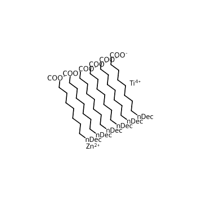 CCCCCCCCCCCCCCCCCC(=O)[O-].CCCCCCCCCCCCCCCCCC(=O)[O-].CCCCCCCCCCCCCCCCCC(=O)[O-].CCCCCCCCCCCCCCCCCC(=O)[O-].CCCCCCCCCCCCCCCCCC(=O)[O-].CCCCCCCCCCCCCCCCCC(=O)[O-].[Ti+4].[Zn+2]